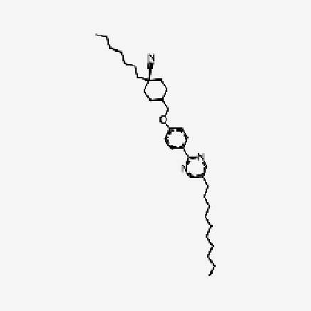 CCCCCCCCCCc1cnc(-c2ccc(OCC3CCC(C#N)(CCCCCCC)CC3)cc2)nc1